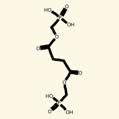 O=C(CCC(=O)OCP(=O)(O)O)OCP(=O)(O)O